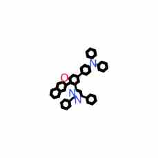 c1ccc(-c2cc(-c3cc(-c4ccc(N(c5ccccc5)c5ccccc5)cc4)cc4oc5cc6ccccc6cc5c34)nc(-c3ccccc3)n2)cc1